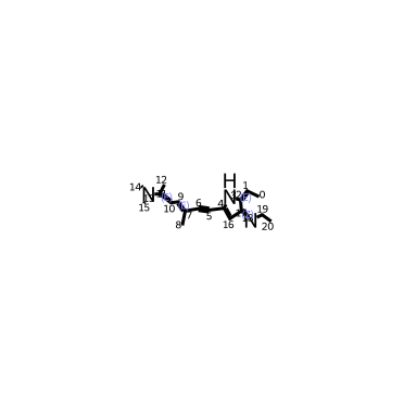 C/C=C1/NC(C#C/C(C)=C/C=C(\C)N(C)C)=C/C1=N/CC